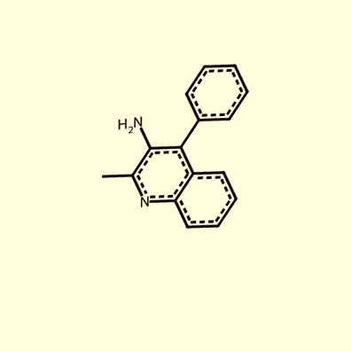 Cc1nc2ccccc2c(-c2ccccc2)c1N